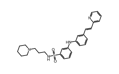 O=S(=O)(NCCCN1CCCCC1)c1cccc(Nc2cccc(/C=C/c3ccccn3)c2)c1